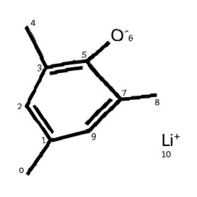 Cc1cc(C)c([O-])c(C)c1.[Li+]